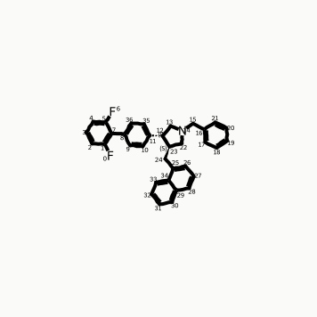 Fc1cccc(F)c1-c1ccc([C@@H]2CN(Cc3ccccc3)C[C@H]2Cc2cccc3ccccc23)cc1